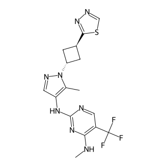 CNc1nc(Nc2cnn([C@H]3C[C@H](c4nncs4)C3)c2C)ncc1C(F)(F)F